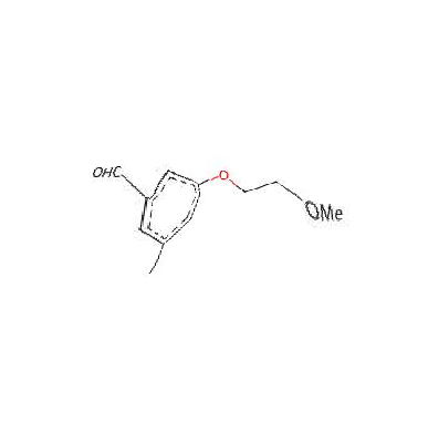 COCCOc1cc(C)cc(C=O)c1